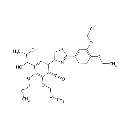 CCOc1ccc(-c2nc(C3C=C(C(O)C(C)O)C(OCOC)=C(OCOC)C3=C=O)cs2)cc1OCC